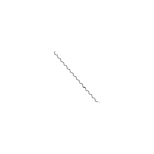 [CH2]CCCCCCCC=CCCCCCCCCCCCCCCCCCC[CH2]